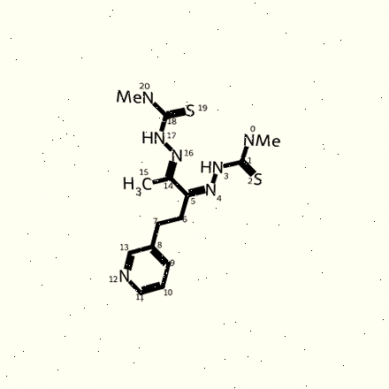 CNC(=S)N/N=C(CCc1cccnc1)\C(C)=N\NC(=S)NC